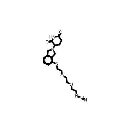 [N-]=[N+]=NCCOCCOCCSc1cccc2c1CN(C1CCC(=O)NC1=O)C2